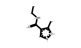 CCNC(=O)c1cnoc1C